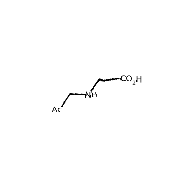 CC(=O)CNCC(=O)O